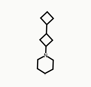 [CH]1CCN(C2CC(C3CCC3)C2)CC1